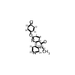 CCN(C(=O)c1ccc(Oc2ccc(Cl)cc2)nc1)c1cccnc1